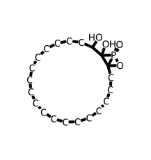 O=P12OC13CCCCCCCCCCCCCCCCCCC(O)C32O